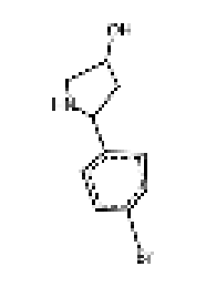 OC1CNC(c2ccc(Br)cc2)C1